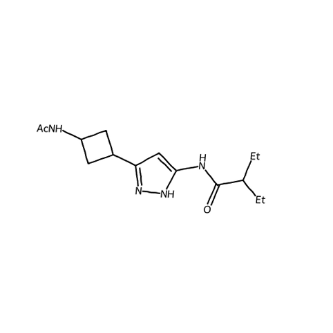 CCC(CC)C(=O)Nc1cc(C2CC(NC(C)=O)C2)n[nH]1